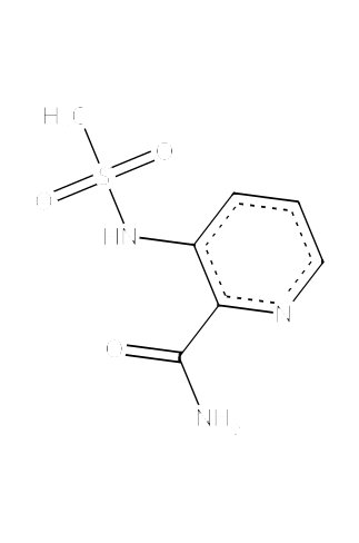 CS(=O)(=O)Nc1cccnc1C(N)=O